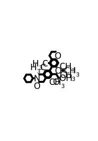 Cc1c(-c2c(C)c3c(c(C)c2[C@H](OC(C)(C)C)C(=O)O)CC(=O)N(C2CCCCC2)C3)ccc2c1CCCO2